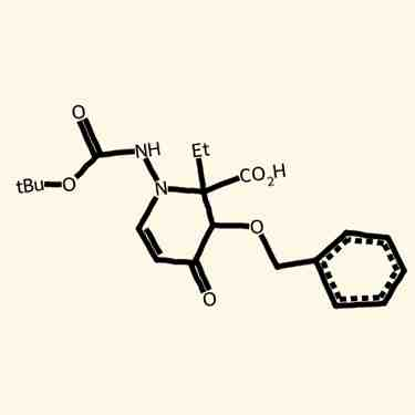 CCC1(C(=O)O)C(OCc2ccccc2)C(=O)C=CN1NC(=O)OC(C)(C)C